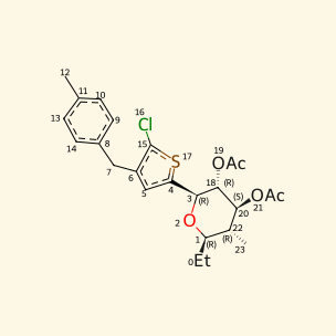 CC[C@H]1O[C@@H](c2cc(Cc3ccc(C)cc3)c(Cl)s2)[C@H](OC(C)=O)[C@@H](OC(C)=O)[C@@H]1C